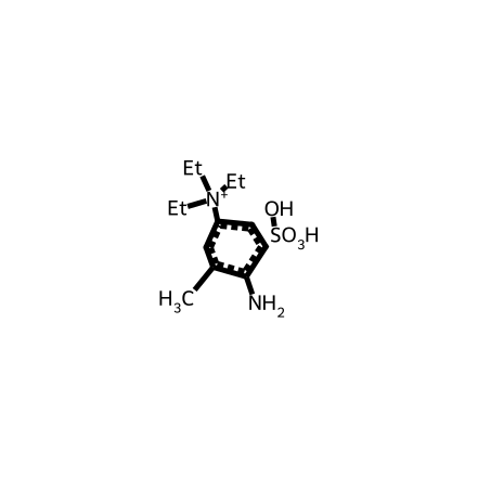 CC[N+](CC)(CC)c1ccc(N)c(C)c1.O=S(=O)(O)O